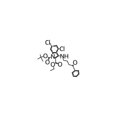 CCOC(=O)c1c(NCCCC(=O)c2ccccc2)c2c(Cl)cc(Cl)cc2n1C(=O)OC(C)(C)C